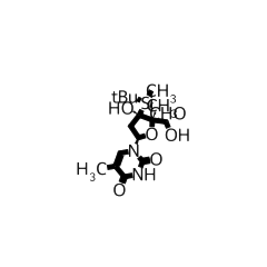 Cc1cn([C@H]2C[C@@](O)([Si](C)(C)C(C)(C)C)[C@@](C=O)(CO)O2)c(=O)[nH]c1=O